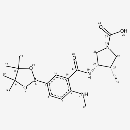 CNc1ccc(B2OC(C)(C)C(C)(C)O2)cc1C(=O)N[C@@H]1CN(C(=O)O)C[C@@H]1F